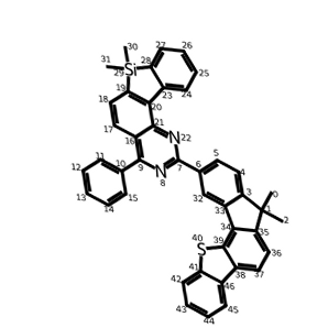 CC1(C)c2ccc(-c3nc(-c4ccccc4)c4ccc5c(c4n3)-c3ccccc3[Si]5(C)C)cc2-c2c1ccc1c2sc2ccccc21